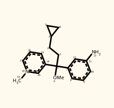 COC(CCC1CC1)(c1cccc(N)c1)c1ccc[n+](C)c1